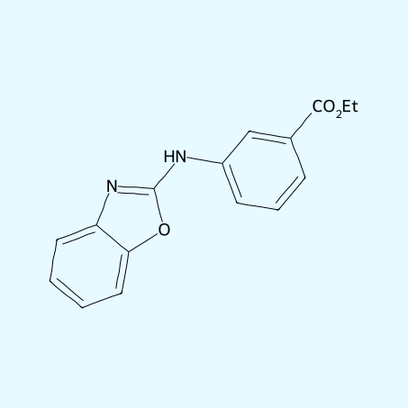 CCOC(=O)c1cccc(Nc2nc3ccccc3o2)c1